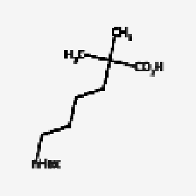 CCCCCCCCCCC(C)(C)C(=O)O